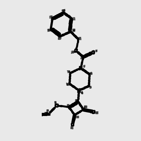 CCCCOc1c(N2CCN(C(=O)OCc3ccccc3)CC2)c(=O)c1=O